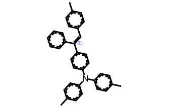 Cc1ccc(/C=C(\c2ccccc2)c2ccc(N(c3ccc(C)cc3)c3ccc(C)cc3)cc2)cc1